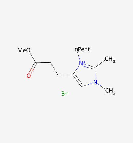 CCCCC[n+]1c(CCC(=O)OC)cn(C)c1C.[Br-]